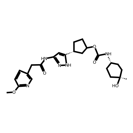 COc1ccc(CC(=O)Nc2cc([C@@H]3CCC(OC(=O)N[C@H]4CC[C@](C)(O)CC4)C3)[nH]n2)cn1